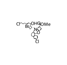 COC(=O)c1ccc2c(c1)N(C[C@@H]1CC[C@H]1[C@H](O)/C=C(\Br)CCCCl)CC1(CCCc3cc(Cl)ccc31)CO2